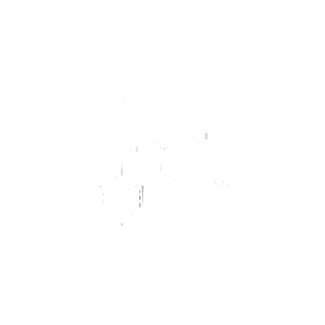 C=CCC(C(=O)O)=C(CC=C)c1ccccc1C(=O)O